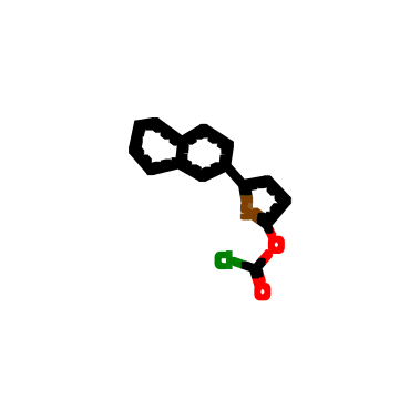 O=C(Cl)Oc1ccc(-c2ccc3ccccc3c2)s1